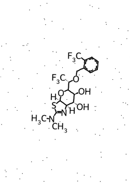 CN(C)C1=N[C@@H]2[C@@H](O)[C@H](O)C([C@@H](OCc3ccccc3C(F)(F)F)C(F)(F)F)O[C@@H]2S1